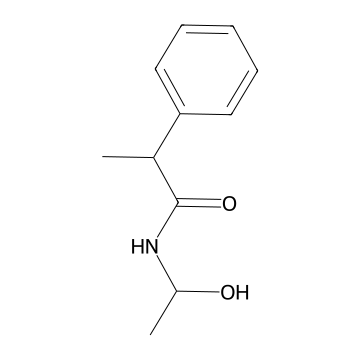 CC(O)NC(=O)C(C)c1ccccc1